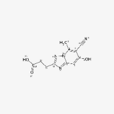 Cc1c(C#N)c(O)cc2nc(CCC(=O)O)nn12